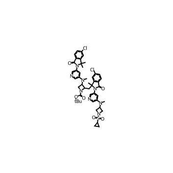 CN(c1cncc(N2C(=O)c3ccc(Cl)cc3C2(C)CC2C(N(C)c3cncc(N4C(=O)c5ccc(Cl)cc5C4(C)C)c3)CN2C(=O)OC(C)(C)C)c1)C1CN(S(=O)(=O)C2CC2)C1